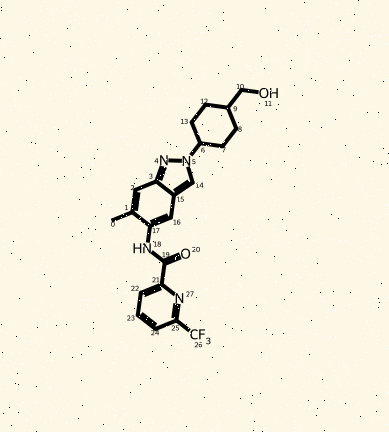 Cc1cc2nn(C3CCC(CO)CC3)cc2cc1NC(=O)c1cccc(C(F)(F)F)n1